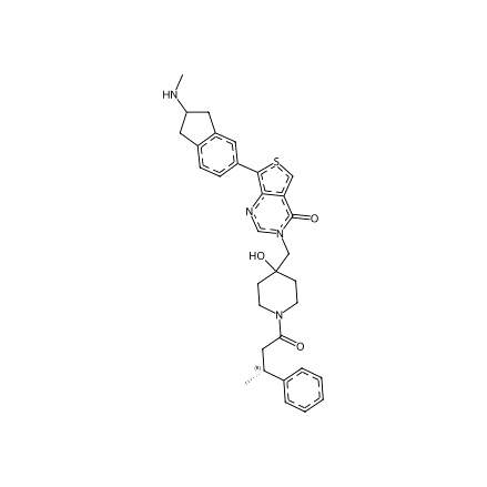 CNC1Cc2ccc(-c3scc4c(=O)n(CC5(O)CCN(C(=O)C[C@@H](C)c6ccccc6)CC5)cnc34)cc2C1